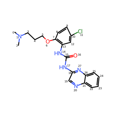 CN(C)CCCOc1ccc(Cl)cc1NC(=O)Nc1cnc2ccccc2n1